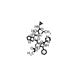 C=CC(=O)NC[C@H](NC(=O)[C@@H](NC(=O)c1cnccn1)C1CCCCC1)C(=O)N1C[C@@H]2CCC[C@@H]2[C@H]1C(=O)N[C@@H](CCC)C(O)C(=O)NC1CC1